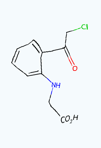 O=C(O)CNc1ccccc1C(=O)CCl